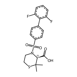 CC1(C)SCCN(S(=O)(=O)c2ccc(-c3c(F)cccc3F)cc2)[C@H]1C(=O)O